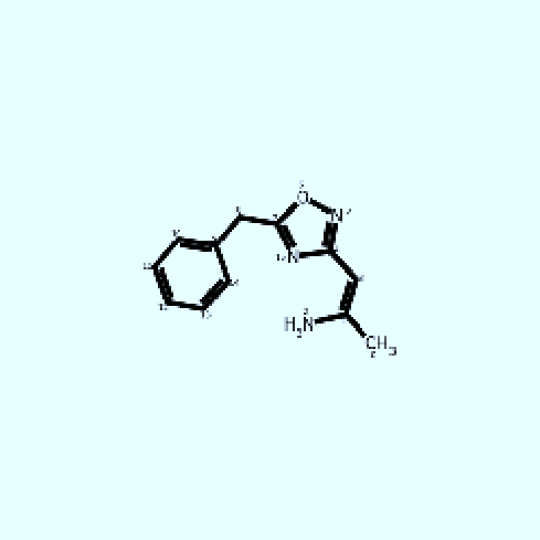 CC(N)=Cc1noc(Cc2ccccc2)n1